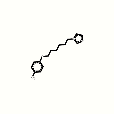 Cc1ccc(OCCCCCCn2ccnc2)cc1